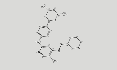 Cc1cnc(Nc2ccc(N3C[C@@H](C)O[C@@H](C)C3)cc2)nc1OCC1CCCCC1